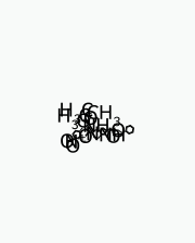 CC(C)(C)OC(=O)N[C@@H](Cc1ccc([N+](=O)[O-])cc1)C(=O)N1CCc2[nH]c(CC(=O)OCc3ccccc3)cc2C1